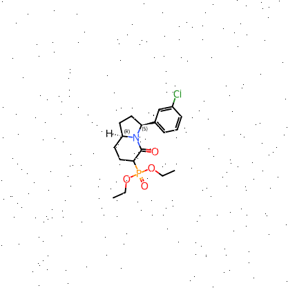 CCOP(=O)(OCC)C1CC[C@H]2CC[C@@H](c3cccc(Cl)c3)N2C1=O